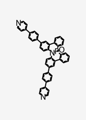 O=P12c3ccccc3-c3cc(-c4ccc(-c5ccncc5)cc4)ccc3N1c1ccc(-c3ccc(-c4ccncc4)cc3)cc1-c1ccccc12